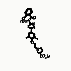 CCCCN(C(=O)c1ccccc1Cl)c1nnc(-c2cc(C)c(OCCN3CCC(C(=O)O)C3)c(C)c2)s1